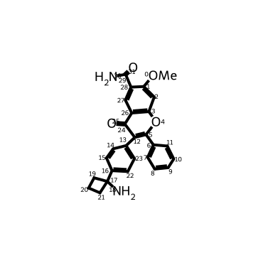 COc1cc2oc(-c3ccccc3)c(-c3ccc(C4(N)CCC4)cc3)c(=O)c2cc1C(N)=O